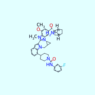 COc1cc(C(=O)[C@H]2C[C@H]3CC[C@@H]2C3N)cc2nc(-c3cc4cccc(C5CCN(C(=O)Nc6cccc(F)c6)CC5)c4n3CC3CC3)n(C)c12